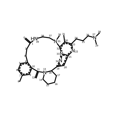 C=C1CCc2ccc(C)cc2C(=C)N2CCCCC2c2cc3nc(CCCN(C)C)c(C)c(n3n2)N(C)CCN1